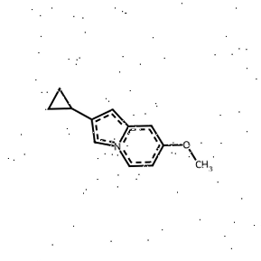 COc1ccn2cc(C3CC3)cc2c1